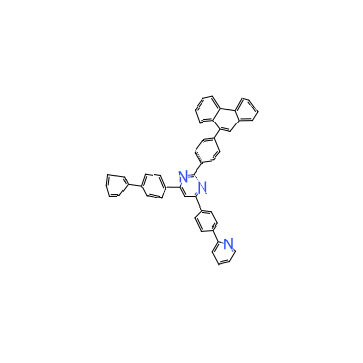 c1ccc(-c2ccc(-c3cc(-c4ccc(-c5ccccn5)cc4)nc(-c4ccc(-c5cc6ccccc6c6ccccc56)cc4)n3)cc2)cc1